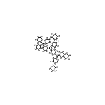 c1ccc(-c2ccc(N(c3ccc4ccccc4c3)c3ccc4oc5c(-c6ccc7c(c6)C(c6ccccc6)(c6ccccc6)c6ccccc6-7)c6c(cc5c4c3)oc3ccccc36)cc2)cc1